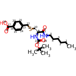 CCCCCCNC(=O)[C@@H](CSCc1ccc(C(=O)O)cc1)NC(=O)OC(C)(C)C